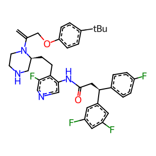 C=C(COc1ccc(C(C)(C)C)cc1)N1CCNC[C@@H]1CCc1c(F)cncc1NC(=O)C[C@@H](c1ccc(F)cc1)c1cc(F)cc(F)c1